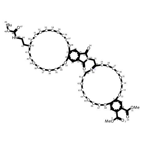 COC(=O)c1cc2c(cc1C(=O)OC)OCCOCCOC/C(CN1C(=O)c3cc4c(cc3C1=O)OCCOCCOCCN(CCNC(=O)OC(C)(C)C)CCOCCOCCO4)=N/CCOCCOCCO2